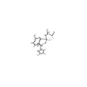 CCP(C)CC(C)(C)CC(c1ccc(C)o1)c1ccc(C)o1